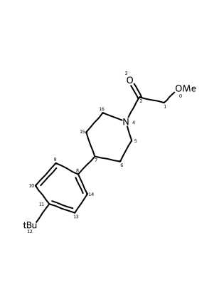 COCC(=O)N1CCC(c2ccc(C(C)(C)C)cc2)CC1